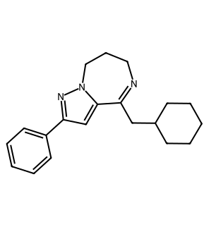 c1ccc(-c2cc3n(n2)CCCN=C3CC2CCCCC2)cc1